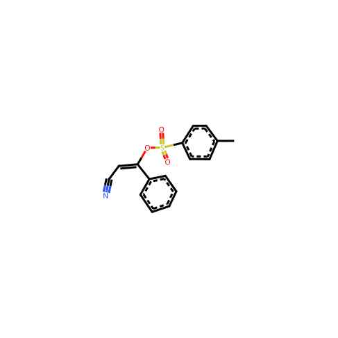 Cc1ccc(S(=O)(=O)OC(=CC#N)c2ccccc2)cc1